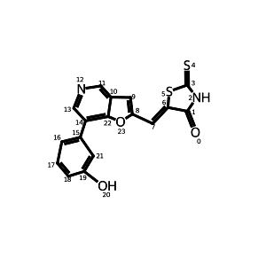 O=C1NC(=S)S/C1=C\c1cc2cncc(-c3cccc(O)c3)c2o1